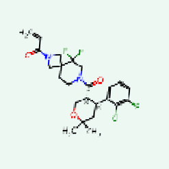 C=CC(=O)N1CC2(CCN(C(=O)[C@H]3COC(C)(C)C[C@@H]3c3cccc(F)c3Cl)CC2(F)F)C1